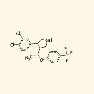 C[C@@H](Oc1ccc(C(F)(F)F)cc1)[C@@H]1CNCC1c1ccc(Cl)c(Cl)c1